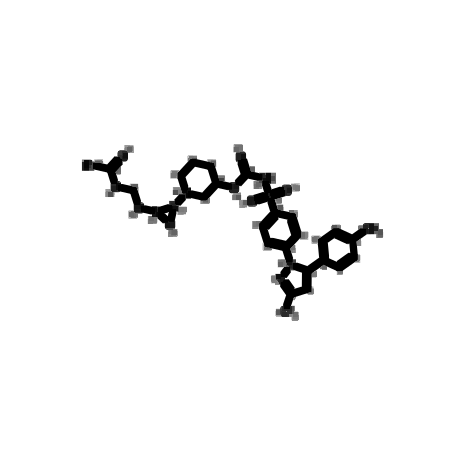 Cc1ccc(-c2cc(C(F)(F)F)nn2-c2ccc(S(=O)(=O)NC(=O)OC3CCCN(n4on4OCOC(=O)C(C)C)C3)cc2)cc1